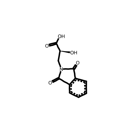 O=C(O)[C@@H](O)CN1C(=O)c2ccccc2C1=O